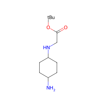 CC(C)(C)OC(=O)CNC1CCC(N)CC1